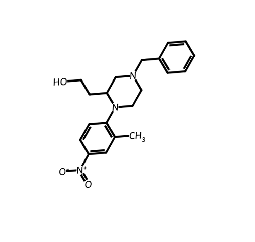 Cc1cc([N+](=O)[O-])ccc1N1CCN(Cc2ccccc2)CC1CCO